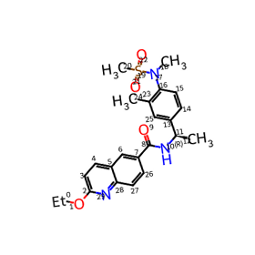 CCOc1ccc2cc(C(=O)N[C@H](C)c3ccc(N(C)S(C)(=O)=O)c(C)c3)ccc2n1